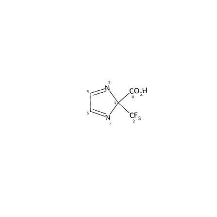 O=C(O)C1(C(F)(F)F)N=CC=N1